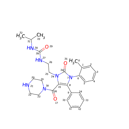 Cc1ccccc1-n1c(-c2ccccc2)c(C(=O)N2CCNCC2)n(CCNC(=O)NC(C)C)c1=O